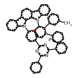 Cc1cccc(-c2c(-c3ccccc3)cccc2-n2c3ccccc3c3ccc4c5ccccc5n(-c5ccc(-c6nc(-c7ccccc7)nc(-c7ccccc7C(C)C)n6)cc5)c4c32)c1